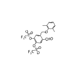 Cc1cccc(C)c1OCc1cc(OS(=O)(=O)C(F)(F)F)c(OS(=O)(=O)C(F)(F)F)cc1C=O